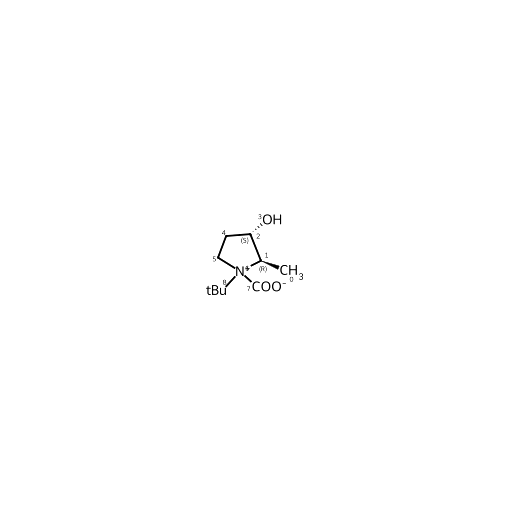 C[C@@H]1[C@@H](O)CC[N+]1(C(=O)[O-])C(C)(C)C